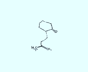 C=C(C)CCC1CCCCC1=O